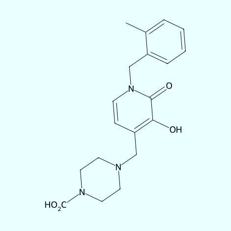 Cc1ccccc1Cn1ccc(CN2CCN(C(=O)O)CC2)c(O)c1=O